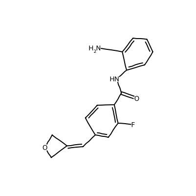 Nc1ccccc1NC(=O)c1ccc(C=C2COC2)cc1F